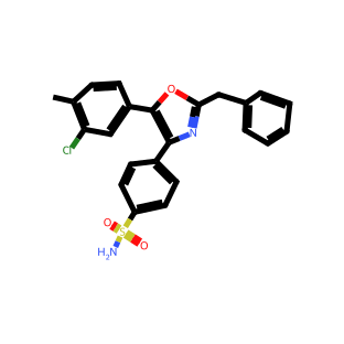 Cc1ccc(-c2oc(Cc3ccccc3)nc2-c2ccc(S(N)(=O)=O)cc2)cc1Cl